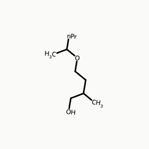 CCCC(C)OCCC(C)CO